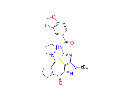 CC(C)(C)n1nc(C(=O)N2CCC[C@H]2CN2CCCC2)c2sc(NC(=O)c3ccc4c(c3)OCO4)nc21